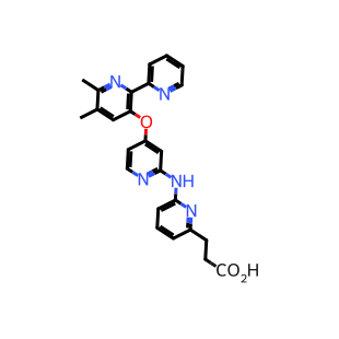 Cc1cc(Oc2ccnc(Nc3cccc(CCC(=O)O)n3)c2)c(-c2ccccn2)nc1C